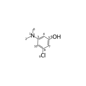 CN(C)c1cc(O)cc(Cl)c1